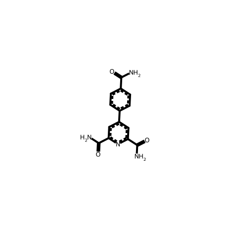 NC(=O)c1ccc(-c2cc(C(N)=O)nc(C(N)=O)c2)cc1